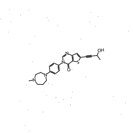 CC(O)C#Cc1cc2ncn(-c3ccc(N4CCCN(C)CC4)cc3)c(=O)c2s1